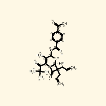 C=CCC1(CC=C)C(=O)N2C(C(=O)C(C)(C)C)=C(C)C(OC(=O)c3ccc(C(=O)O)cc3)S[C@H]21